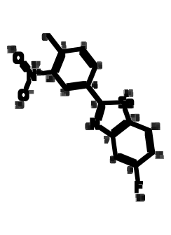 Cc1ccc(-c2nc3cc(F)ccc3[se]2)cc1[N+](=O)[O-]